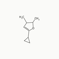 CC1C=C(C2CC2)OC1C